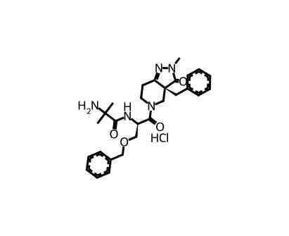 CN1N=C2CCN(C(=O)[C@@H](COCc3ccccc3)NC(=O)C(C)(C)N)C[C@@]2(Cc2ccccc2)C1=O.Cl